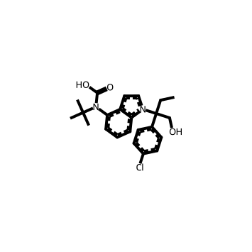 CCC(CO)(c1ccc(Cl)cc1)n1ccc2c(N(C(=O)O)C(C)(C)C)cccc21